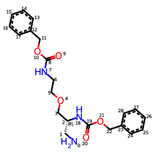 NC[C@H](COCCNC(=O)OCc1ccccc1)NC(=O)OCc1ccccc1